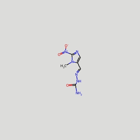 Cn1c(C=NNC(N)=O)cnc1[N+](=O)[O-]